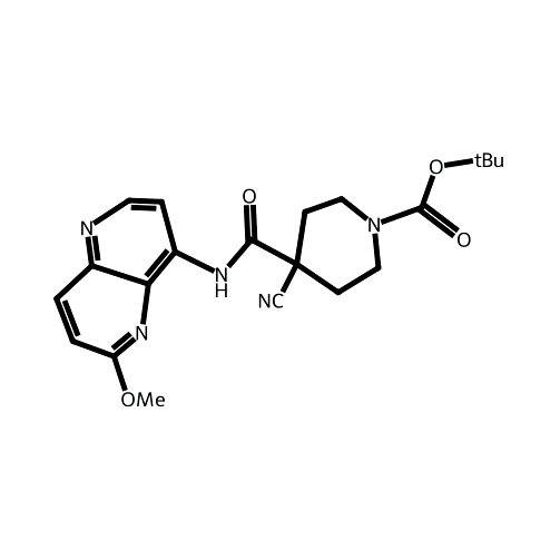 COc1ccc2nccc(NC(=O)C3(C#N)CCN(C(=O)OC(C)(C)C)CC3)c2n1